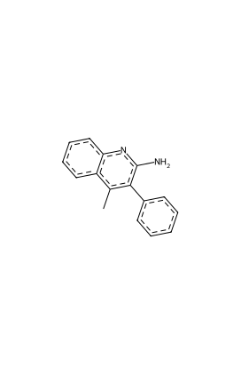 Cc1c(-c2ccccc2)c(N)nc2ccccc12